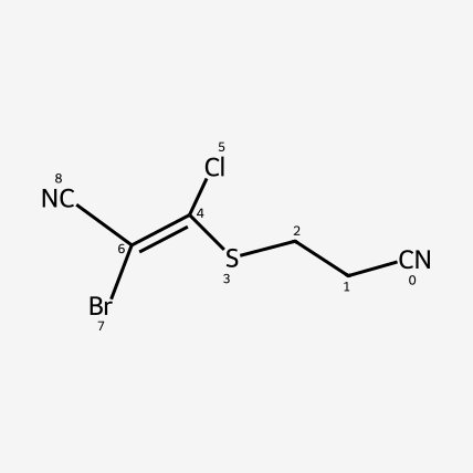 N#CCCSC(Cl)=C(Br)C#N